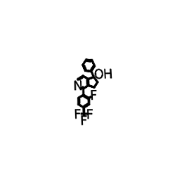 OC1(c2ccccc2)CCc2c1ccnc2-c1ccc(C(F)(F)F)cc1F